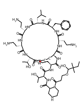 CCC(C)(C)C(O)OCCC(=O)N1CCNCC1C(=O)N[C@H](C(=O)N[C@@H](CCN)C(=O)N[C@H]1CCNC(=O)[C@H](C(C)O)NC(=O)[C@H](CCN)NC(=O)[C@H](CCN)NC(=O)[C@H](CC(C)C)NC(=O)[C@@H](Cc2ccccc2)NC(=O)[C@H](CCN)NC1=O)C(C)O